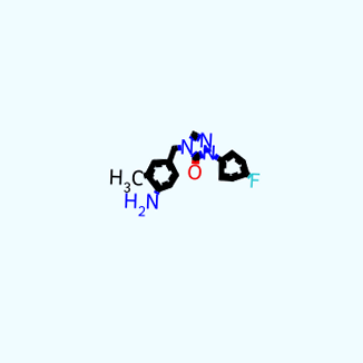 Cc1cc(Cn2cnn(-c3ccc(F)cc3)c2=O)ccc1N